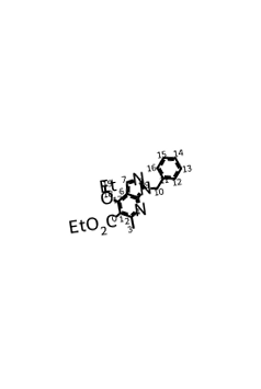 CCOC(=O)c1c(C)nc2c(cnn2Cc2ccccc2)c1OCC